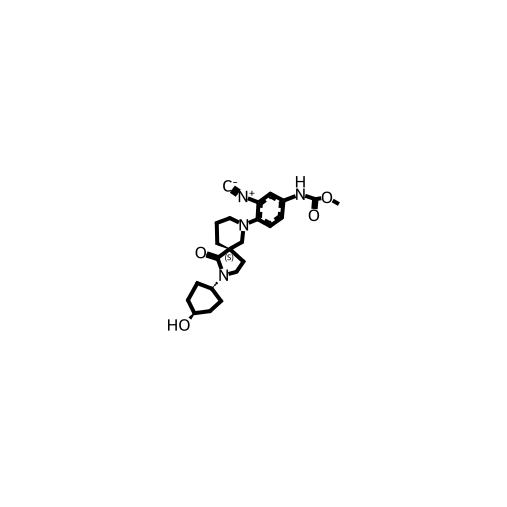 [C-]#[N+]c1cc(NC(=O)OC)ccc1N1CCC[C@]2(CCN([C@H]3CC[C@H](O)CC3)C2=O)C1